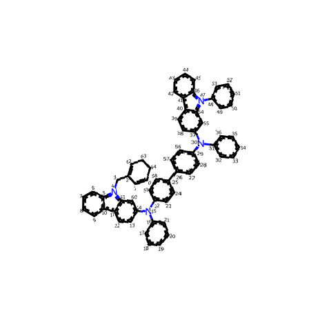 C1=CC(Cn2c3ccccc3c3ccc(N(c4ccccc4)c4ccc(-c5ccc(N(c6ccccc6)c6ccc7c8ccccc8n(-c8ccccc8)c7c6)cc5)cc4)cc32)=CCC1